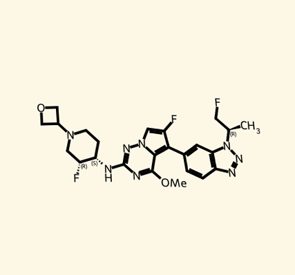 COc1nc(N[C@H]2CCN(C3COC3)C[C@H]2F)nn2cc(F)c(-c3ccc4nnn([C@H](C)CF)c4c3)c12